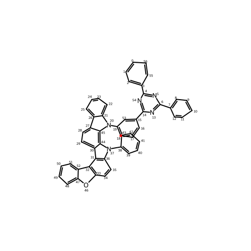 c1ccc(-c2nc(-c3ccccc3)nc(-c3cccc(-n4c5ccccc5c5ccc6c7c8c(ccc7n(-c7ccccc7)c6c54)oc4ccccc48)c3)n2)cc1